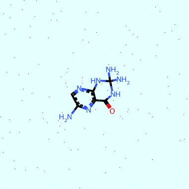 Nc1cnc2c(n1)C(=O)NC(N)(N)N2